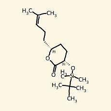 CC(C)=CCC[C@@H]1CC[C@H](O[Si](C)(C)C(C)(C)C)C(=O)O1